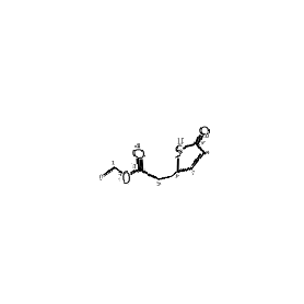 CCOC(=O)CC1C=CC(=O)S1